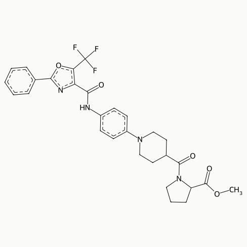 COC(=O)C1CCCN1C(=O)C1CCN(c2ccc(NC(=O)c3nc(-c4ccccc4)oc3C(F)(F)F)cc2)CC1